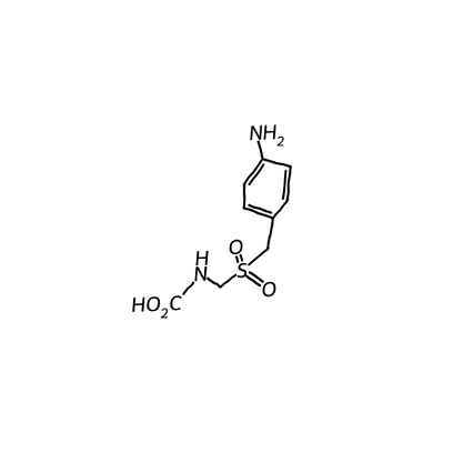 Nc1ccc(CS(=O)(=O)CNC(=O)O)cc1